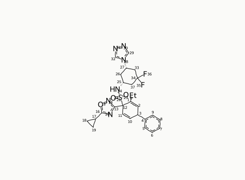 CCC1=CC(c2ccccc2)C=CC1(c1noc(C2CC2)n1)S(=O)(=O)N[C@@H]1C[C@H](n2cnnc2)CC(F)(F)C1